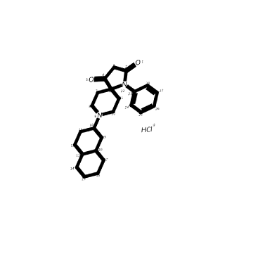 Cl.O=C1CC(=O)C2(CCN(C3CCC4CCCCC4C3)CC2)N1c1ccccc1